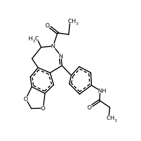 CCC(=O)Nc1ccc(C2=NN(C(=O)CC)C(C)Cc3cc4c(cc32)OCO4)cc1